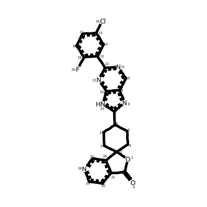 O=C1OC2(CCC(c3nc4cnc(-c5cc(Cl)ccc5F)nc4[nH]3)CC2)c2cnccc21